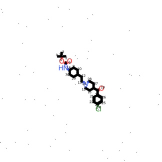 CC(C)(C)OC(=O)NC1CCC(CCN2CCC(C(=O)c3ccc(Cl)cc3)CC2)CC1